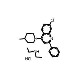 CC1CCN(c2cc(-c3ccccc3)nc3cc(Cl)ccc23)CC1.CCNCC.Cl